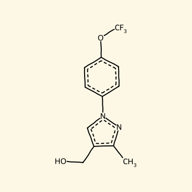 Cc1nn(-c2ccc(OC(F)(F)F)cc2)cc1CO